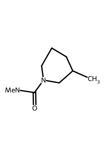 CNC(=O)N1CCCC(C)C1